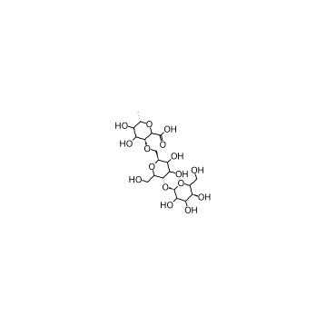 C[C@@H]1OC(C(=O)O)[C@@H](OC[C@@H]2OC(CO)[C@@H](O[C@H]3OC(CO)[C@@H](O)C(O)C3O)C(O)C2O)C(O)C1O